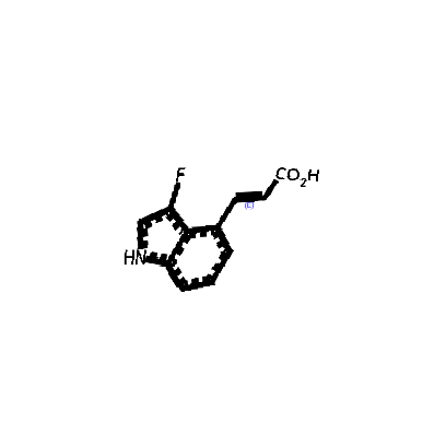 O=C(O)/C=C/c1cccc2[nH]cc(F)c12